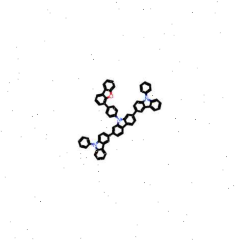 c1ccc(-n2c3ccccc3c3cc(-c4ccc5c6ccc(-c7ccc8c(c7)c7ccccc7n8-c7ccccc7)cc6n(-c6ccc(-c7cccc8c7oc7ccccc78)cc6)c5c4)ccc32)cc1